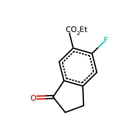 CCOC(=O)c1cc2c(cc1F)CCC2=O